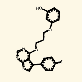 Oc1cccc(OCCCOc2ncnc3scc(-c4ccc(F)cc4)c23)c1